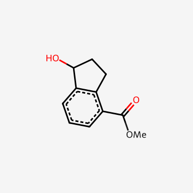 COC(=O)c1cccc2c1CCC2O